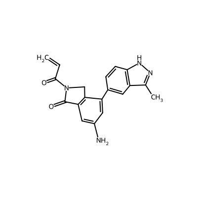 C=CC(=O)N1Cc2c(cc(N)cc2-c2ccc3[nH]nc(C)c3c2)C1=O